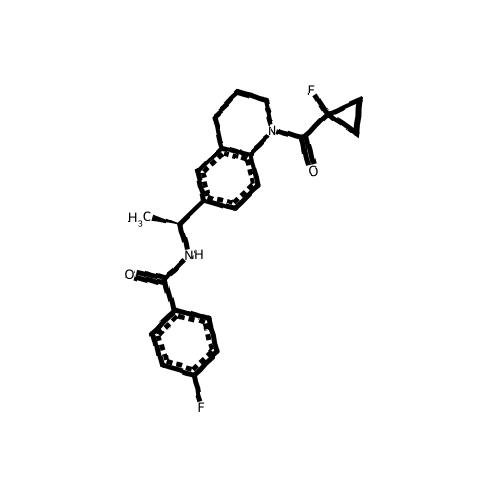 C[C@H](NC(=O)c1ccc(F)cc1)c1ccc2c(c1)CCCN2C(=O)C1(F)CC1